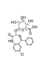 O=C1Nc2ccc(Cl)cc2C(c2ccccc2)=NC1O[C@@H]1O[C@H](C(=O)O)[C@@H](O)[C@H](O)[C@H]1O